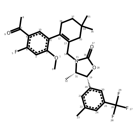 COc1cc(F)c(C(C)=O)cc1C1=C(CN2C(=O)O[C@H](c3cc(C)cc(C(F)(F)F)c3)[C@@H]2C)CC(C)(C)CC1